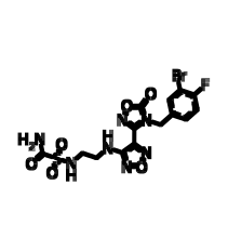 NC(=O)S(=O)(=O)NCCNc1nonc1-c1noc(=O)n1Cc1ccc(F)c(Br)c1